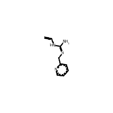 C=CNC(N)=NCc1ccccn1